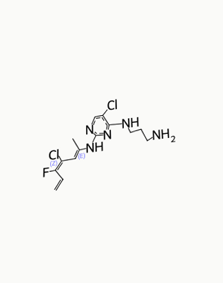 C=C/C(F)=C(Cl)\C=C(/C)Nc1ncc(Cl)c(NCCCN)n1